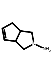 NN1CC2C=CCC2C1